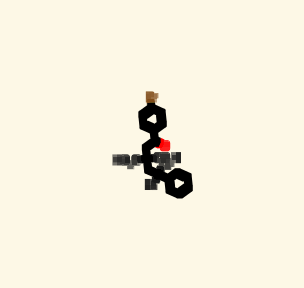 CCC(CC)(CC(CC(=O)c1ccc(Br)cc1)(C(=O)O)C(=O)O)c1ccccc1